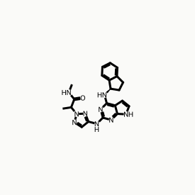 CNC(=O)C(C)n1ncc(Nc2nc(N[C@@H]3CCc4ccccc43)c3cc[nH]c3n2)n1